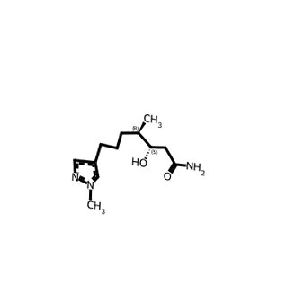 C[C@H](CCCc1cnn(C)c1)[C@@H](O)CC(N)=O